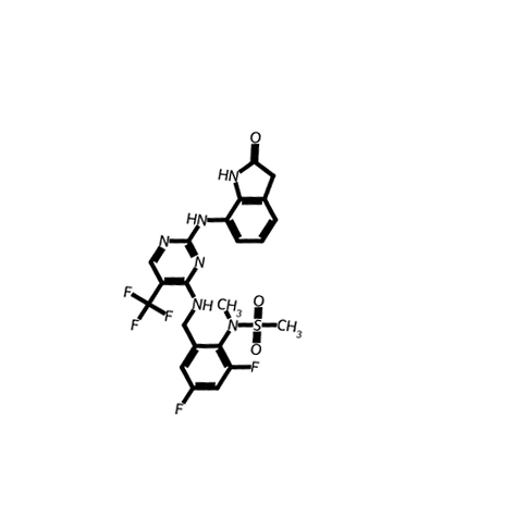 CN(c1c(F)cc(F)cc1CNc1nc(Nc2cccc3c2NC(=O)C3)ncc1C(F)(F)F)S(C)(=O)=O